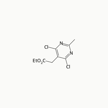 CCOC(=O)Cc1c(Cl)nc(C)nc1Cl